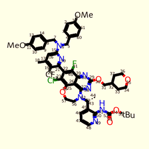 COc1ccc(CN(Cc2ccc(OC)cc2)c2cc(C)c(C(F)(F)F)c(-c3c(Cl)c4c5c(nc(OCC6CCOCC6)nc5c3F)N([C@H](C)c3cccnc3NC(=O)OC(C)(C)C)CCO4)n2)cc1